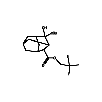 CCCCC1(O)C2CC3CC(C2)C(C(=O)OCC(C)(F)F)C1C3